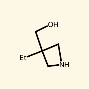 CCC1(CO)CNC1